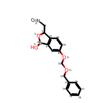 O=[N+]([O-])CC1OB(O)c2cc(OCOCc3ccccc3)ccc21